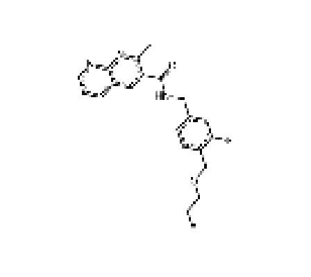 Cc1nc2ncccc2cc1C(=O)NCc1ccc(COCCF)c(F)c1